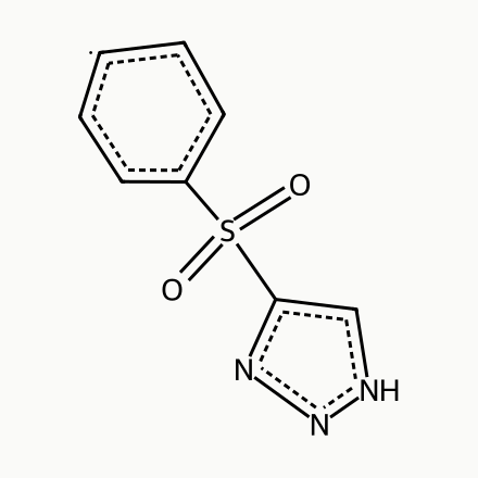 O=S(=O)(c1cc[c]cc1)c1c[nH]nn1